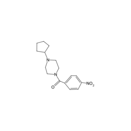 O=C(c1ccc([N+](=O)[O-])cc1)N1CCN(C2CCCC2)CC1